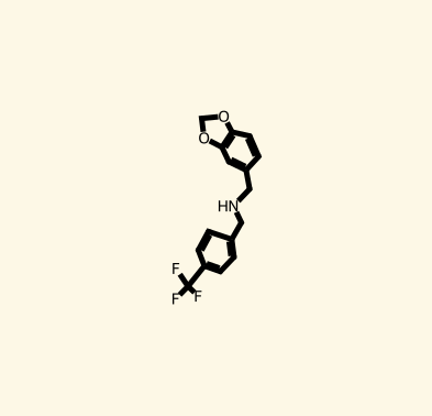 FC(F)(F)c1ccc(CNCc2ccc3c(c2)OCO3)cc1